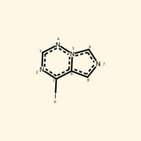 Ic1ncnn2cncc12